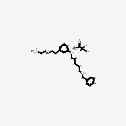 O=C(O)C(F)(F)F.O=C(O)CCNCCc1cccc(OCCCCCOCc2ccccc2)c1